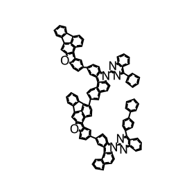 c1ccc(-c2ccc(-c3nc(-n4c5ccc(-c6ccc7oc8cc9c%10c(c(-c%11ccc%12c(ccc%13c%12c%12cc(-c%14ccc%15oc%16cc%17c%18c(cccc%18c%16c%15c%14)-c%14ccccc%14-%17)ccc%12n%13-c%12nc(-c%13ccccc%13)c%13ccccc%13n%12)c%11)ccc%10c8c7c6)-c6ccccc6-9)cc5c5c6ccccc6ccc54)nc4ccccc34)cc2)cc1